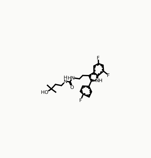 CC(C)(O)CCNC(=O)NCCc1c(-c2ccc(F)cc2)[nH]c2c(F)cc(F)cc12